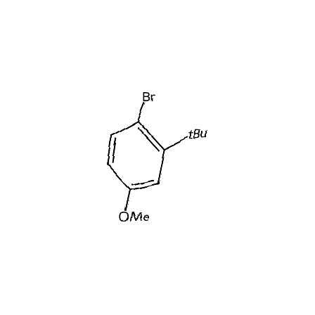 COc1ccc(Br)c(C(C)(C)C)c1